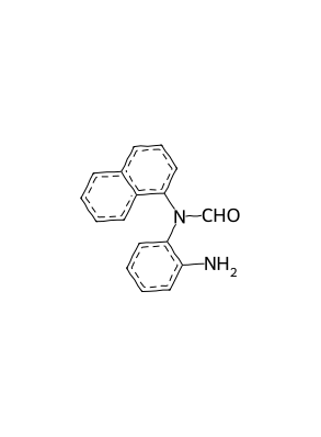 Nc1ccccc1N(C=O)c1cccc2ccccc12